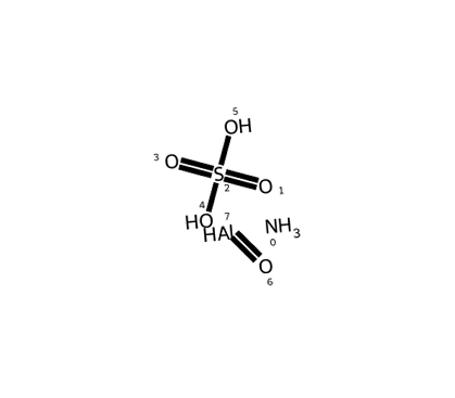 N.O=S(=O)(O)O.[O]=[AlH]